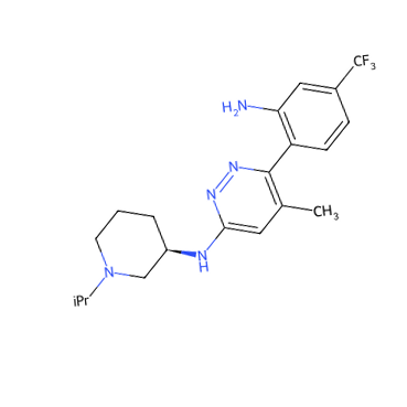 Cc1cc(N[C@@H]2CCCN(C(C)C)C2)nnc1-c1ccc(C(F)(F)F)cc1N